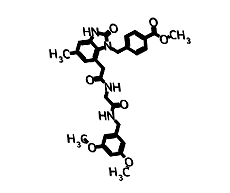 COC(=O)c1ccc(Cn2c(=O)[nH]c3cc(C)cc(CC(=O)NCC(=O)NCc4cc(OC)cc(OC)c4)c32)cc1